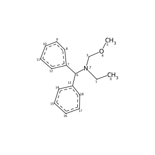 CCN(COC)C(c1ccccc1)c1ccccc1